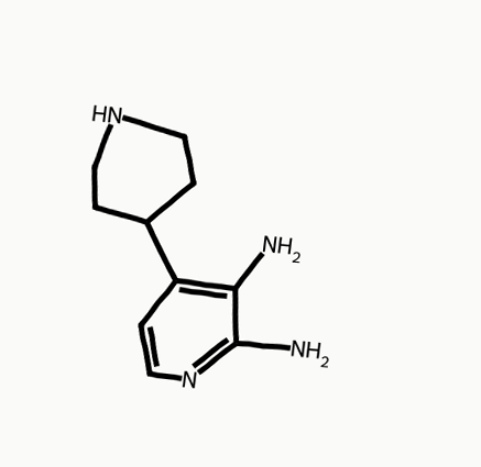 Nc1nccc(C2CCNCC2)c1N